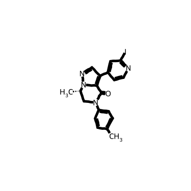 Cc1ccc(N2C[C@H](C)n3ncc(-c4ccnc(I)c4)c3C2=O)cc1